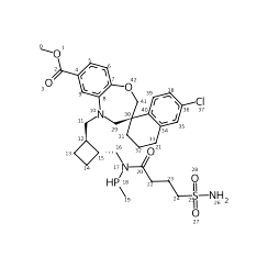 COC(=O)c1ccc2c(c1)N(C[C@@H]1CC[C@H]1CN(PC)C(=O)CCCS(N)(=O)=O)C[C@@]1(CCCc3cc(Cl)ccc31)CO2